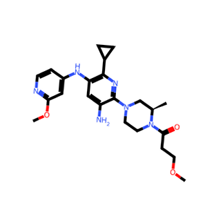 COCCC(=O)N1CCN(c2nc(C3CC3)c(Nc3ccnc(OC)c3)cc2N)C[C@H]1C